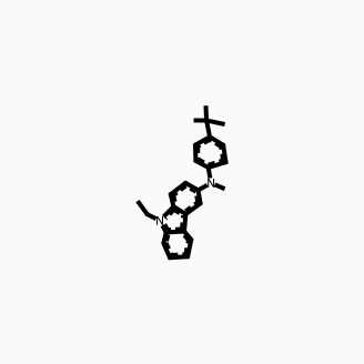 CCn1c2ccccc2c2cc(N(C)c3ccc(C(C)(C)C)cc3)ccc21